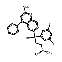 COc1cc(-c2ccccc2)c2cc(C(O)(CCN(C)C)c3cc(F)cc(F)c3)ccc2n1